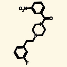 O=C(c1cccc([N+](=O)[O-])c1)N1CCN(CCc2cccc(F)c2)CC1